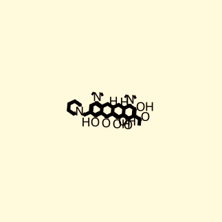 CC(=O)C1=C(O)C(N(C)C)[C@@H]2C[C@@H]3Cc4c(N(C)C)cc(CN5CCCCC5)c(O)c4C(=O)C3=C(O)[C@]2(O)C1=O